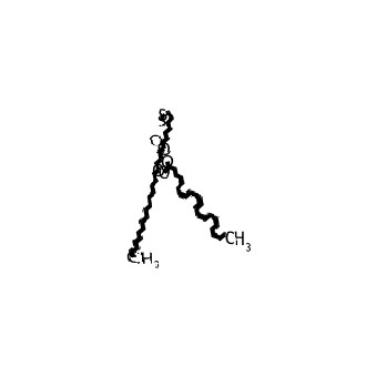 CC/C=C\C/C=C\C/C=C\C/C=C\C/C=C\C/C=C\CCC(=O)OC(COCCCCCCCCCCCCCCCC)COC(=O)CCCC1CCSS1